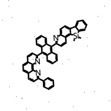 C[Si]1(C)c2ccccc2-c2ccc3nc(-c4c5ccccc5c(-c5ccc6ccc7ccc(-c8ccccc8)nc7c6n5)c5ccccc45)ccc3c21